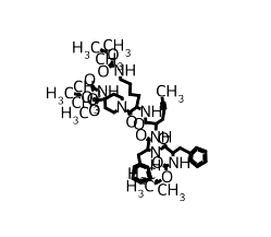 CC#CCC(NC(=O)C(Cc1ccccc1)NC(=O)C(Cc1ccccc1)NC(=O)OC(C)(C)C)C(=O)NC(CCCCNC(=O)OC(C)(C)C)C(=O)N1CCC(NC(=O)OC(C)(C)C)(C(=O)OC)CC1